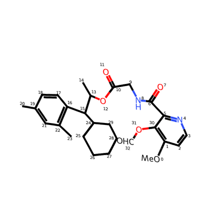 COc1ccnc(C(=O)NCC(=O)OC(C)C(c2ccc(C)cc2C)C2CCCCC2)c1OC=O